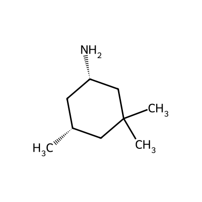 C[C@@H]1C[C@H](N)CC(C)(C)C1